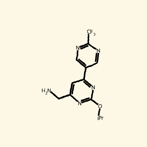 CC(C)Oc1nc(CN)cc(-c2cnc(C(F)(F)F)nc2)n1